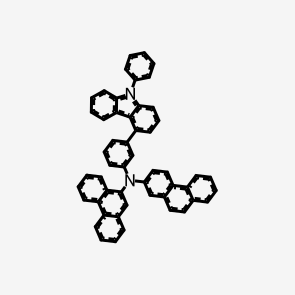 c1ccc(-n2c3ccccc3c3c(-c4cccc(N(c5ccc6c(ccc7ccccc76)c5)c5cc6ccccc6c6ccccc56)c4)cccc32)cc1